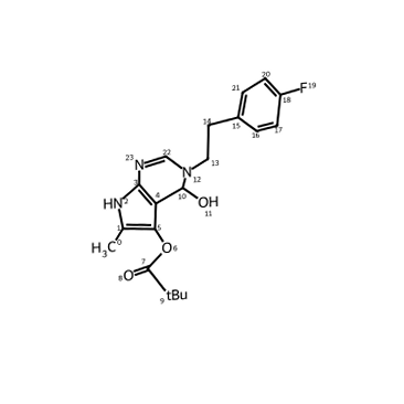 Cc1[nH]c2c(c1OC(=O)C(C)(C)C)C(O)N(CCc1ccc(F)cc1)C=N2